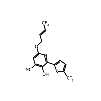 N#Cc1cc(OC/C=C/C(F)(F)F)nc(-c2ccc(C(F)(F)F)s2)c1O